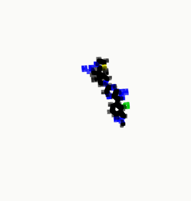 Cn1cc2c(Cl)c(-c3n[nH]c4nc(N5C[C@@H]6[C@H](C5)C6(CN)c5nccs5)cnc34)ccc2n1